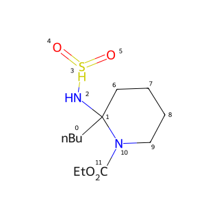 CCCCC1(N[SH](=O)=O)CCCCN1C(=O)OCC